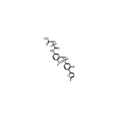 COc1ccc(NC(=O)C(C)(C)NC(=O)O)cc1NS(=O)(=O)c1ccc(-c2ccc(C)o2)c(F)c1